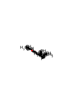 CC(C)(C)OC(=O)NCCCOCCOCCOCCCN(Cc1cc(C(=O)OC(C)(C)C)ccc1F)C(=O)C(N)CC(=O)O